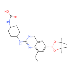 CCc1cc(B2OC(C)(C)C(C)(C)O2)cc2cnc(NC3CCC(NC(=O)O)CC3)nc12